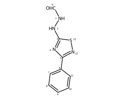 O=CNNc1nc(-c2ccccc2)ns1